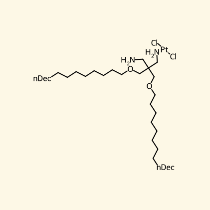 CCCCCCCCCCCCCCCCCCOCC(CN)(CN)COCCCCCCCCCCCCCCCCCC.[Cl][Pt][Cl]